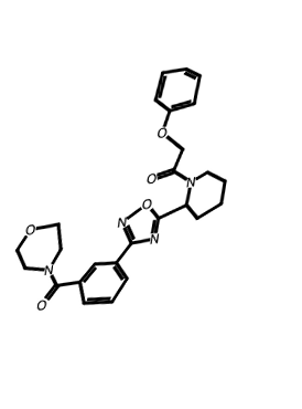 O=C(c1cccc(-c2noc(C3CCCCN3C(=O)COc3ccccc3)n2)c1)N1CCOCC1